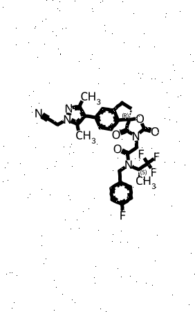 Cc1nn(CC#N)c(C)c1-c1ccc2c(c1)CC[C@@]21OC(=O)N(CC(=O)N(Cc2ccc(F)cc2)[C@@H](C)C(F)(F)F)C1=O